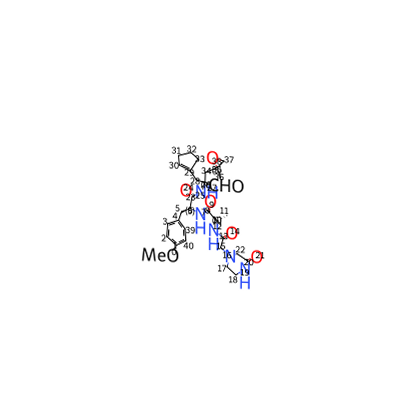 COc1ccc(C[C@H](NC(=O)[C@H](C)NC(=O)CN2CCNC(=O)C2)C(=O)N[C@](C=O)(CC2=CCCC2)C[C@@]2(C)CO2)cc1